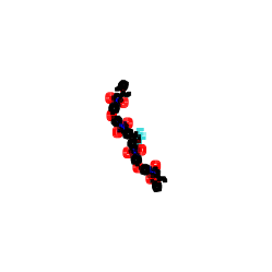 CCC(C1CC(=O)N(c2ccc(Oc3ccc(N4C(=O)c5ccc(C(C)(c6ccc7c(c6)C(=O)N(c6ccc(Oc8ccc(N9C(=O)CC(C(CC)C%10C%11CCC(C%11)C%10C)C9=O)cc8)cc6)C7=O)C(F)(F)F)cc5C4=O)cc3)cc2)C1=O)C1C2CCC(C2)C1C